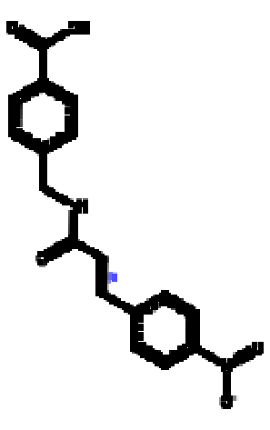 O=C(/C=C/c1ccc([N+](=O)[O-])cc1)NCc1ccc(C(=O)O)cc1